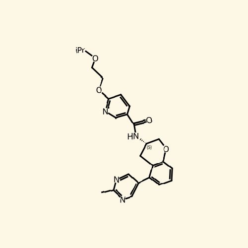 Cc1ncc(-c2cccc3c2C[C@H](NC(=O)c2ccc(OCCOC(C)C)nc2)CO3)cn1